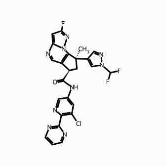 C[C@]1(c2cnn(C(F)F)c2)C[C@@H](C(=O)Nc2cnc(-c3ncccn3)c(Cl)c2)c2cnc3cc(F)nn3c21